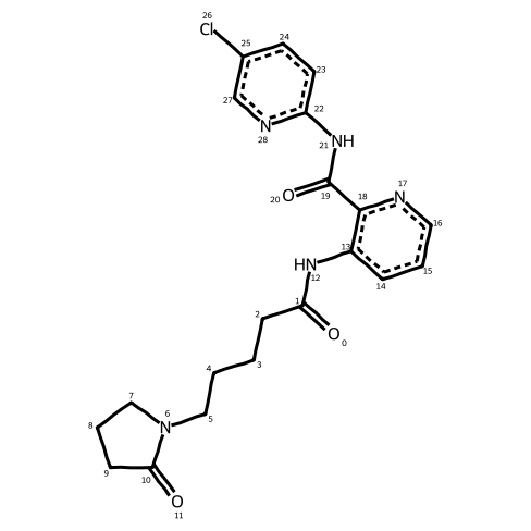 O=C(CCCCN1CCCC1=O)Nc1cccnc1C(=O)Nc1ccc(Cl)cn1